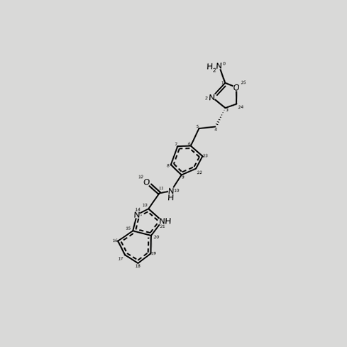 NC1=N[C@@H](CCc2ccc(NC(=O)c3nc4ccccc4[nH]3)cc2)CO1